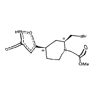 COC(=O)N1CC[C@@H](c2cc(=O)[nH]o2)C[C@H]1CC(C)(C)C